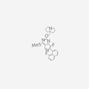 CSc1nc(OCC23CCCN2CCC3)nc2c(F)c(-c3cccc4cccc(F)c34)ncc12